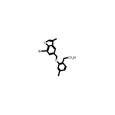 CCOC(=O)Cc1ccc(C)cc1OCc1cc(Br)c2occ(C)c2c1